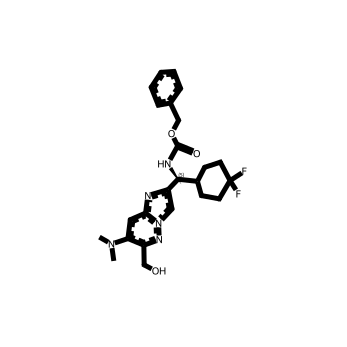 CN(C)c1cc2nc([C@@H](NC(=O)OCc3ccccc3)C3CCC(F)(F)CC3)cn2nc1CO